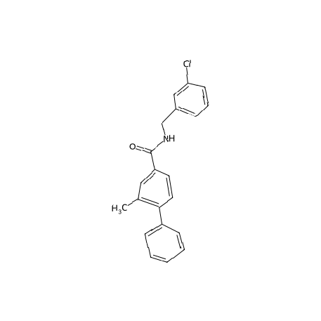 Cc1cc(C(=O)NCc2cccc(Cl)c2)ccc1-c1ccccc1